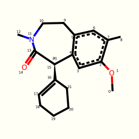 COc1cc2c(cc1C)CCN(C)C(=O)[C@@H]2C1=CCCCC1